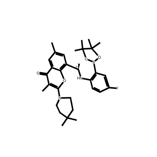 Cc1cc([C@@H](C)Nc2ccc(F)cc2B2OC(C)(C)C(C)(C)O2)c2oc(N3CCC(C)(C)CC3)c(C)c(=O)c2c1